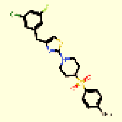 CC(C)(C)c1ccc(S(=O)(=O)C2CCN(c3nc(Cc4cc(F)cc(Cl)c4)cs3)CC2)cc1